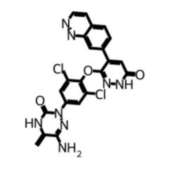 C=C1NC(=O)N(c2cc(Cl)c(Oc3n[nH]c(=O)cc3-c3ccc4ccnnc4c3)c(Cl)c2)N=C1N